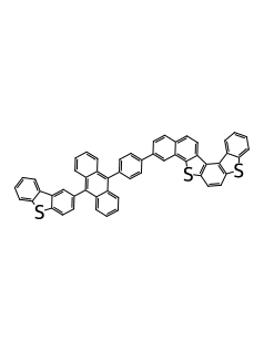 c1ccc2c(c1)sc1ccc(-c3c4ccccc4c(-c4ccc(-c5ccc6ccc7c(sc8ccc9sc%10ccccc%10c9c87)c6c5)cc4)c4ccccc34)cc12